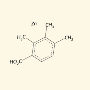 Cc1ccc(C(=O)O)c(C)c1C.[Zn]